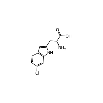 N[C@@H](Cc1cc2ccc(Cl)cc2[nH]1)C(=O)O